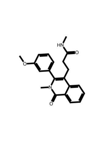 CNC(=O)CCc1c(-c2cccc(OC)c2)n(C)c(=O)c2ccccc12